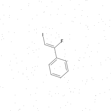 F/C(=C\I)c1[c]cccc1